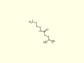 CCCCOC(=O)CCC(O)O